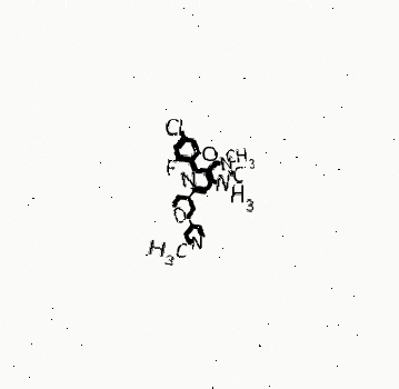 Cc1cc([C@@H]2C[C@H](c3cc4nc(C)n(C)c(=O)c4c(-c4ccc(Cl)cc4F)n3)CCO2)ccn1